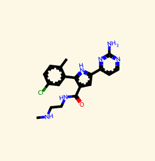 CNCCNC(=O)c1cc(-c2ccnc(N)n2)[nH]c1-c1cc(Cl)ccc1C